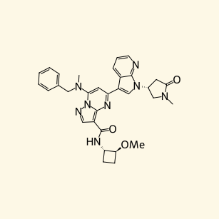 CO[C@H]1CC[C@@H]1NC(=O)c1cnn2c(N(C)Cc3ccccc3)cc(-c3cn([C@@H]4CC(=O)N(C)C4)c4ncccc34)nc12